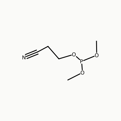 COP(OC)OCCC#N